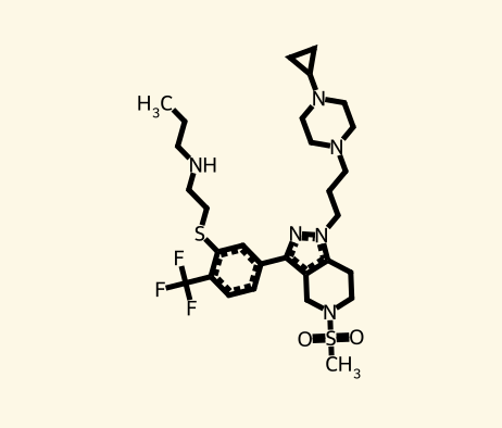 CCCNCCSc1cc(-c2nn(CCCN3CCN(C4CC4)CC3)c3c2CN(S(C)(=O)=O)CC3)ccc1C(F)(F)F